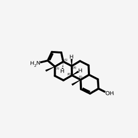 C[C@]12C=CC(O)CC1CC[C@@H]1[C@H]2CC[C@]2(C)C(N)=CC[C@@H]12